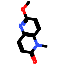 COc1ccc2c(ccc(=O)n2C)n1